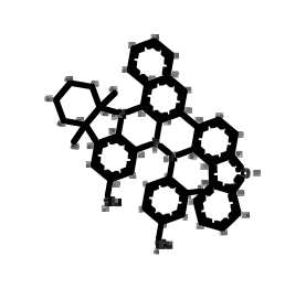 Cc1cc(C(C)(C)C)ccc1N1B2c3cc(C(C)(C)C)cc4c3N(c3c2c(cc2ccccc32)-c2ccc3oc5ccccc5c3c21)C1(C)CCCCC41C